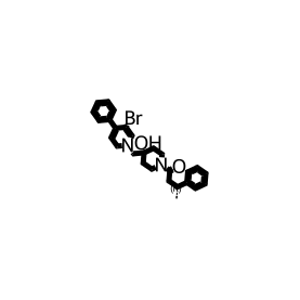 C[C@H](CC(=O)N1CCC(O)(CN2C=C(Br)C(c3ccccc3)=CC2)CC1)c1ccccc1